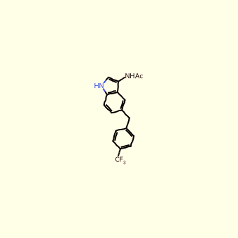 CC(=O)Nc1c[nH]c2ccc(Cc3ccc(C(F)(F)F)cc3)cc12